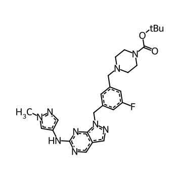 Cn1cc(Nc2ncc3cnn(Cc4cc(F)cc(CN5CCN(C(=O)OC(C)(C)C)CC5)c4)c3n2)cn1